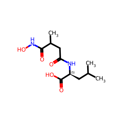 CC(C)C[C@H](NC(=O)CC(C)C(=O)NO)C(=O)O